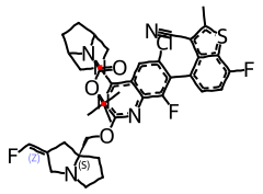 Cc1sc2c(F)ccc(-c3c(Cl)cc4c(N5CC6CCC(C5)N6C(=O)OC(C)(C)C)nc(OC[C@@]56CCCN5C/C(=C\F)C6)nc4c3F)c2c1C#N